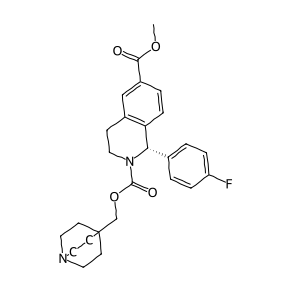 COC(=O)c1ccc2c(c1)CCN(C(=O)OCC13CCN(CC1)CC3)[C@H]2c1ccc(F)cc1